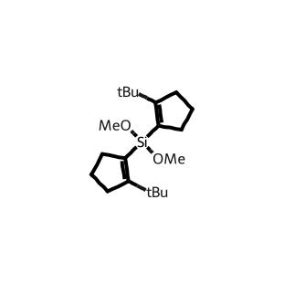 CO[Si](OC)(C1=C(C(C)(C)C)CCC1)C1=C(C(C)(C)C)CCC1